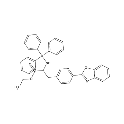 CCOC(=O)C(Cc1ccc(-c2nc3ccccc3o2)cc1)NC(c1ccccc1)(c1ccccc1)c1ccccc1